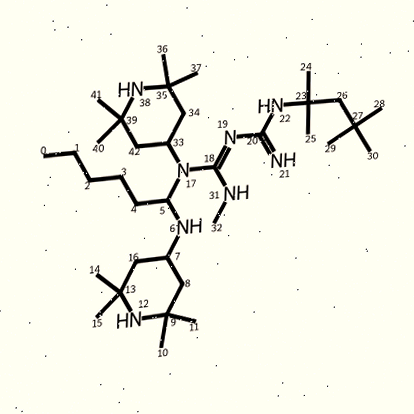 CCCCCC(NC1CC(C)(C)NC(C)(C)C1)N(/C(=N/C(=N)NC(C)(C)CC(C)(C)C)NC)C1CC(C)(C)NC(C)(C)C1